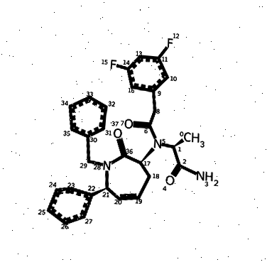 C[C@@H](C(N)=O)N(C(=O)Cc1cc(F)cc(F)c1)[C@H]1CC=C[C@@H](c2ccccc2)N(Cc2ccccc2)C1=O